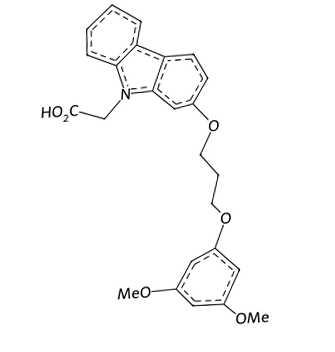 COc1cc(OC)cc(OCCCOc2ccc3c4ccccc4n(CC(=O)O)c3c2)c1